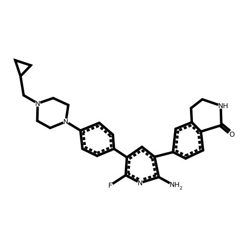 Nc1nc(F)c(-c2ccc(N3CCN(CC4CC4)CC3)cc2)cc1-c1ccc2c(c1)CCNC2=O